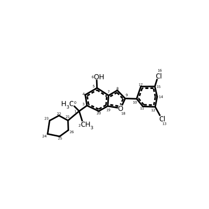 CC(C)(c1cc(O)c2cc(-c3cc(Cl)cc(Cl)c3)oc2c1)C1CCCCC1